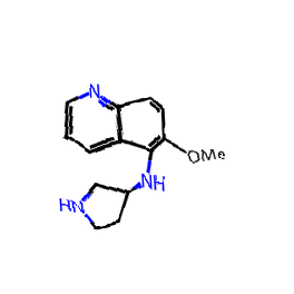 COc1ccc2ncccc2c1N[C@H]1CCNC1